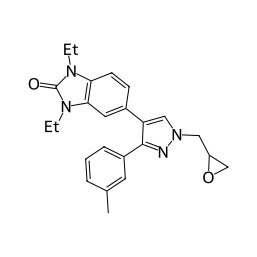 CCn1c(=O)n(CC)c2cc(-c3cn(CC4CO4)nc3-c3cccc(C)c3)ccc21